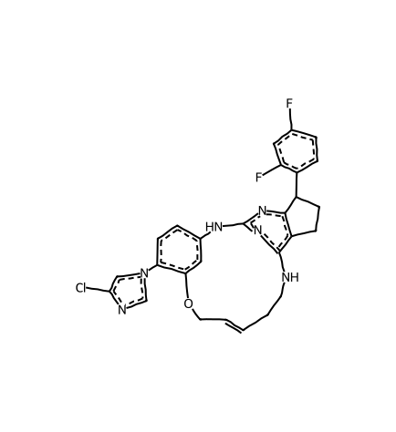 Fc1ccc(C2CCc3c4nc(nc32)Nc2ccc(-n3cnc(Cl)c3)c(c2)OC/C=C/CCN4)c(F)c1